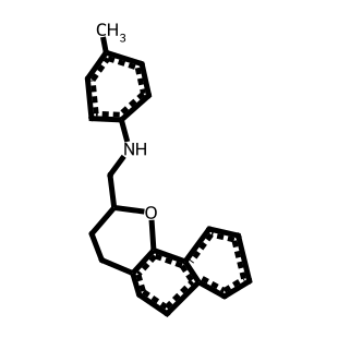 Cc1ccc(NCC2CCc3ccc4ccccc4c3O2)cc1